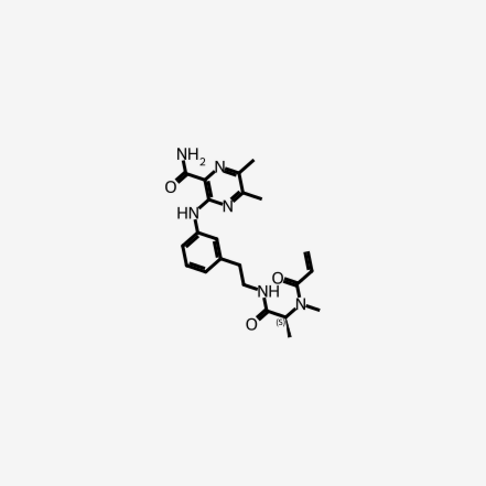 C=CC(=O)N(C)[C@@H](C)C(=O)NCCc1cccc(Nc2nc(C)c(C)nc2C(N)=O)c1